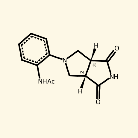 CC(=O)Nc1ccccc1N1C[C@@H]2C(=O)NC(=O)[C@@H]2C1